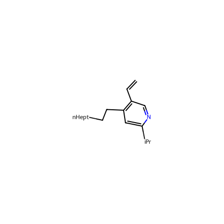 C=Cc1cnc(C(C)C)cc1CCCCCCCCC